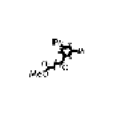 COC(=O)CCC(=O)c1cc(C(C)C)cc(C(C)C)c1